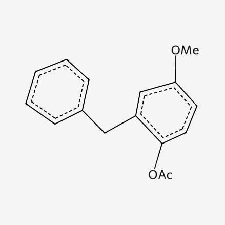 COc1ccc(OC(C)=O)c(Cc2ccccc2)c1